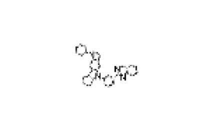 c1ccc(-n2ccc3cc4c(cc32)c2ccccc2n4-c2cccc(-c3ncc4ccccc4n3)c2)cc1